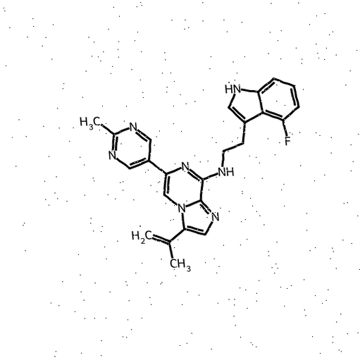 C=C(C)c1cnc2c(NCCc3c[nH]c4cccc(F)c34)nc(-c3cnc(C)nc3)cn12